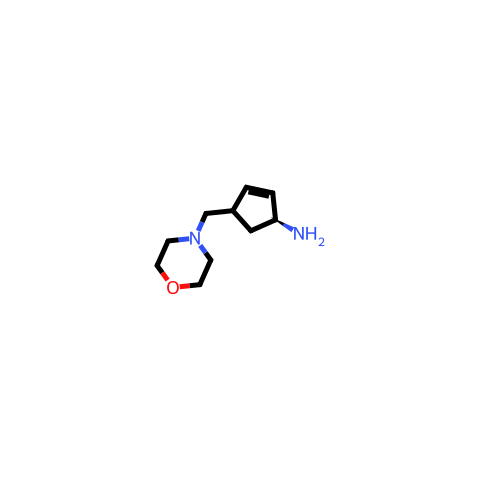 N[C@@H]1C=CC(CN2CCOCC2)C1